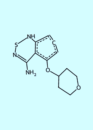 NC1=NSNc2cccc(OC3CCOCC3)c21